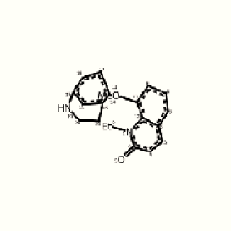 CCn1c(=O)ccc2cccc(OC)c21.c1cc2cc(c1)NCC2